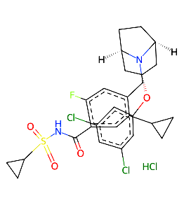 Cl.O=C(NS(=O)(=O)C1CC1)c1cc(C2CC2)c(CN2[C@@H]3CC[C@H]2C[C@H](Oc2cc(Cl)cc(Cl)c2)C3)cc1F